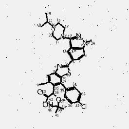 Cc1cc2nc(-c3ccc4c(c3)c(N3CCN(C(C)C)CC3)nn4C)sc2c(-c2ccc(Cl)cc2)c1C(OC(C)(C)C)C(=O)O